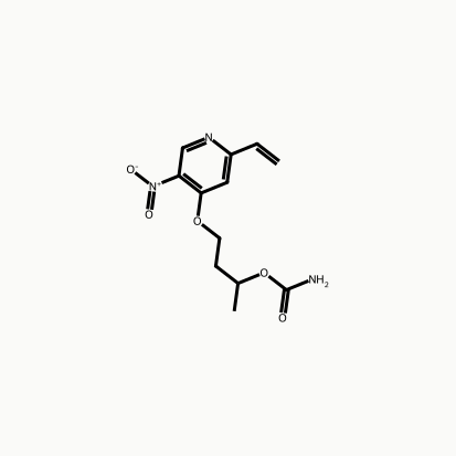 C=Cc1cc(OCCC(C)OC(N)=O)c([N+](=O)[O-])cn1